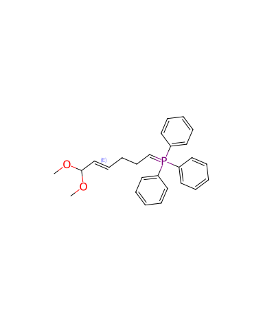 COC(/C=C/CCC=P(c1ccccc1)(c1ccccc1)c1ccccc1)OC